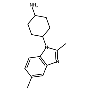 Cc1ccc2c(c1)nc(C)n2C1CCC(N)CC1